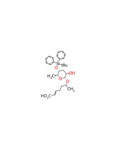 CC(CC/C=C/C(=O)O)O[C@@H]1O[C@@H](C)[C@H](O[Si](c2ccccc2)(c2ccccc2)C(C)(C)C)C[C@H]1O